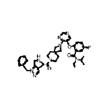 CCN(C(=O)c1cc(F)ccc1Oc1cncnc1N1CC2(CCN(C(=O)[C@H]3NCc4c3cnn4Cc3ccccc3)CC2)C1)C(C)C